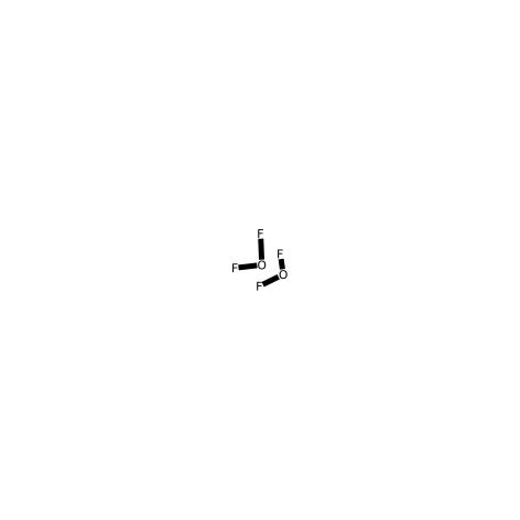 FOF.FOF